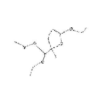 CCOC1CCC(C)(C(OCC)OCC)O1